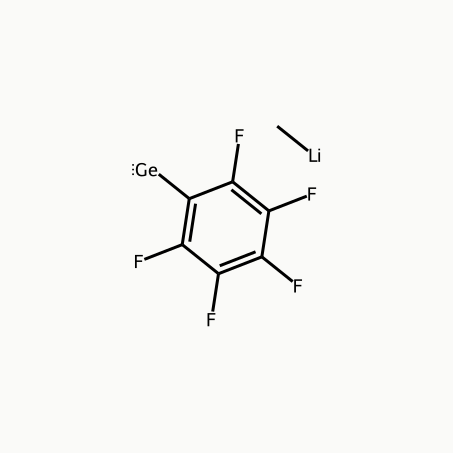 Fc1c(F)c(F)[c]([Ge])c(F)c1F.[Li][CH3]